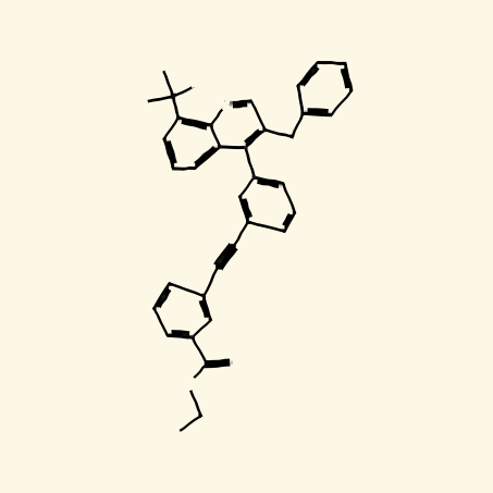 CCOC(=O)c1cccc(C#Cc2cccc(-c3c(Cc4ccccc4)cnc4c(C(F)(F)F)cccc34)c2)c1